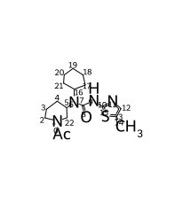 CC(=O)N1CCCC(N(C(=O)Nc2ncc(C)s2)C2CCCCC2)C1